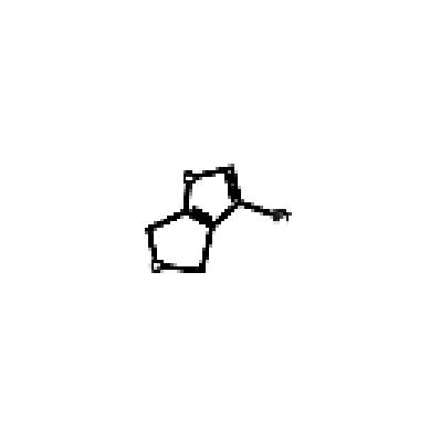 CC(C)c1coc2c1COC2